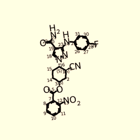 N#C[C@H]1C[C@@H](OC(=O)c2ccccc2[N+](=O)[O-])CC[C@@H]1n1cc(C(N)=O)c(Nc2ccc(F)cc2)n1